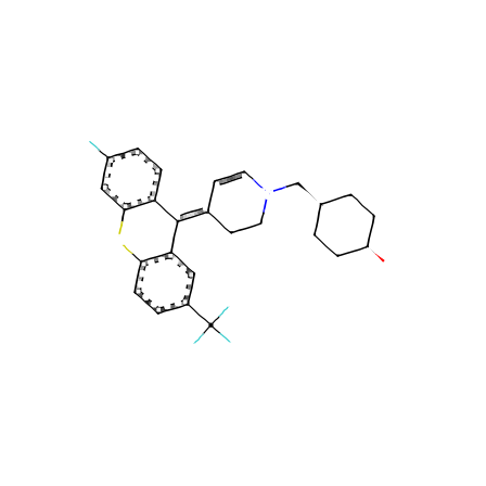 O[C@H]1CC[C@@H](CN2C=CC(=C3c4ccc(F)cc4Sc4ccc(C(F)(F)F)cc43)CC2)CC1